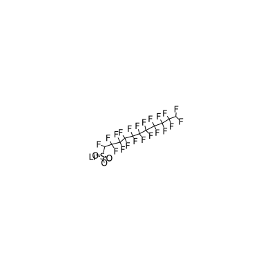 O=S(=O)([O-])C(F)C(F)(F)C(F)(F)C(F)(F)C(F)(F)C(F)(F)C(F)(F)C(F)(F)C(F)(F)C(F)(F)C(F)F.[Li+]